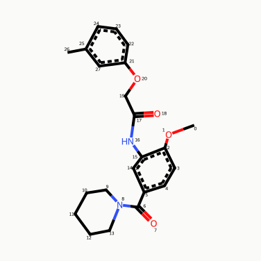 COc1ccc(C(=O)N2CCCCC2)cc1NC(=O)COc1cccc(C)c1